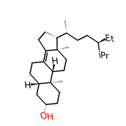 CC[C@H](CC[C@@H](C)[C@H]1CCC2=C3CC[C@H]4C[C@@H](O)CC[C@]4(C)[C@H]3CC[C@@]21C)C(C)C